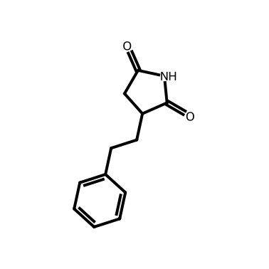 O=C1CC(CCc2ccccc2)C(=O)N1